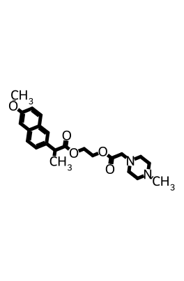 COc1ccc2cc(C(C)C(=O)OCCOC(=O)CN3CCN(C)CC3)ccc2c1